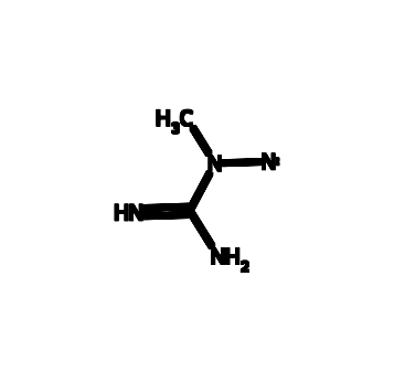 CN([N])C(=N)N